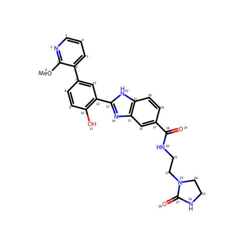 COc1ncccc1-c1ccc(O)c(-c2nc3cc(C(=O)NCCN4CCNC4=O)ccc3[nH]2)c1